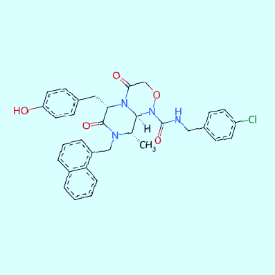 C[C@H]1[C@@H]2N(C(=O)NCc3ccc(Cl)cc3)OCC(=O)N2[C@@H](Cc2ccc(O)cc2)C(=O)N1Cc1cccc2ccccc12